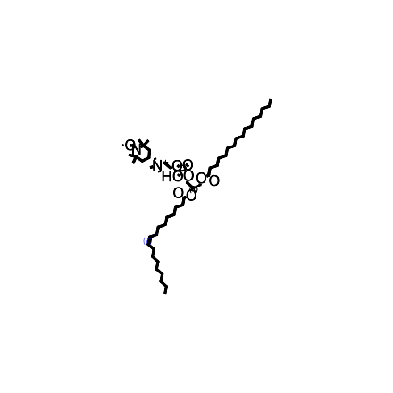 CC1(C)CCCC(C)(C)N1[O].CCCCCCCC/C=C\CCCCCCCC(=O)O[C@H](COC(=O)CCCCCCCCCCCCCCC)COP(=O)(O)OCC[N+](C)(C)C